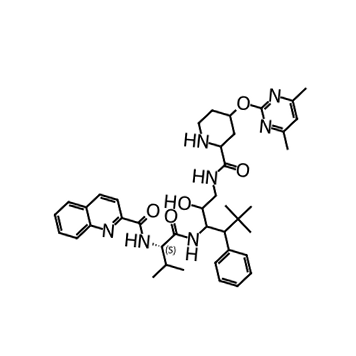 Cc1cc(C)nc(OC2CCNC(C(=O)NCC(O)C(NC(=O)[C@@H](NC(=O)c3ccc4ccccc4n3)C(C)C)C(c3ccccc3)C(C)(C)C)C2)n1